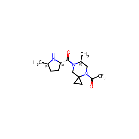 C[C@@H]1CC[C@@H](C(=O)N2CC3(CC3)N(C(=O)C(F)(F)F)C[C@@H]2C)N1